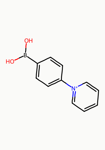 OB(O)c1ccc(-[n+]2ccccc2)cc1